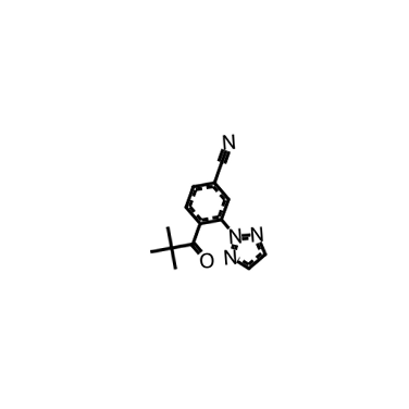 CC(C)(C)C(=O)c1ccc(C#N)cc1-n1nccn1